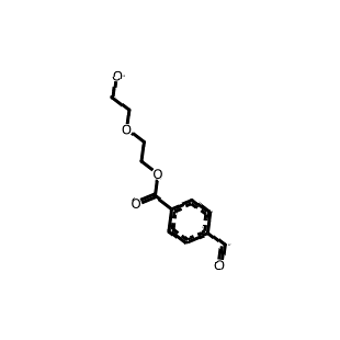 [O]CCOCCOC(=O)c1ccc([C]=O)cc1